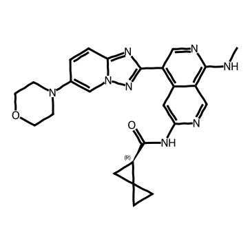 CNc1ncc(-c2nc3ccc(N4CCOCC4)cn3n2)c2cc(NC(=O)[C@@H]3CC34CC4)ncc12